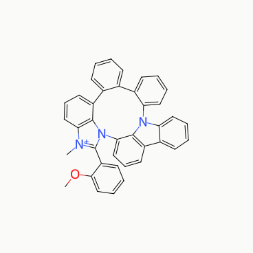 COc1ccccc1-c1n2c3cccc4c5ccccc5n(c5ccccc5c5ccccc5c5cccc(c52)[n+]1C)c43